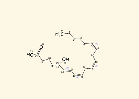 CCCCC/C=C\C/C=C\C/C=C\C=C\[C@@H](O)CCCC(=O)O